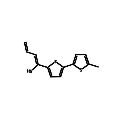 C=C/C=C(\S)c1ccc(-c2ccc(C)s2)s1